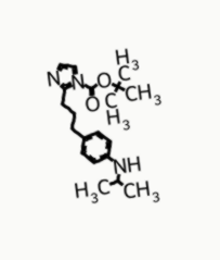 CC(C)Nc1ccc(CCCc2nccn2C(=O)OC(C)(C)C)cc1